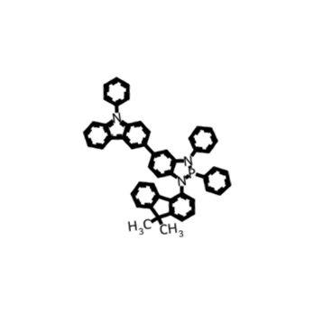 CC1(C)c2ccccc2-c2c(N3c4ccc(-c5ccc6c(c5)c5ccccc5n6-c5ccccc5)cc4N(c4ccccc4)P3c3ccccc3)cccc21